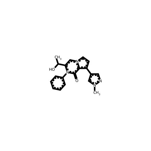 CC(O)c1cn2ccc(-c3cnn(C)c3)c2c(=O)n1-c1ccccc1